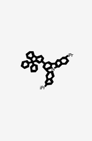 CC(C)c1ccc2cc3c(cc2c1)c1cc(-c2ccc4c(c2)C(c2ccccc2)(c2ccccc2)c2ccccc2-4)cc2c4cc5cc(C(C)C)ccc5cc4n3c12